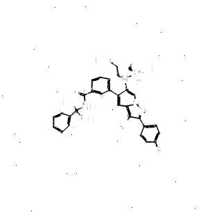 CC(C)(NC(=O)c1cccc(-c2cc3c(C(=O)O)c(-c4ccc(F)cc4)nn3cc2N(CCO)S(C)(=O)=O)c1)c1ccccc1